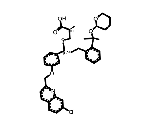 C[C@@H](CS[C@H](CCc1ccccc1C(C)(C)OC1CCCCO1)c1cccc(OCc2ccc3ccc(Cl)cc3n2)c1)C(=O)O